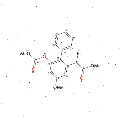 CCC(C(=O)OC)c1cc(OC)cc(OC(=O)OC)c1-c1ccccc1